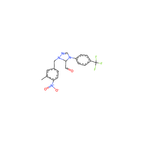 Cc1cc(CN2N=CN(c3ccc(C(F)(F)F)cc3)C2C=O)ccc1[N+](=O)[O-]